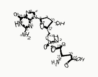 Nc1nc2c(ncn2[C@H]2C[C@H](O)[C@@H](COP(N)(=O)OC(=O)[C@@H](N)CC(=O)O)O2)c(=O)[nH]1